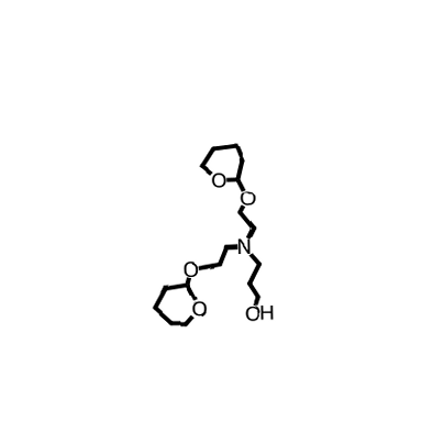 OCCCN(CCOC1CCCCO1)CCOC1CCCCO1